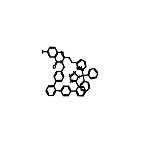 CCCCc1nc2ccc(I)cc2c(=O)n1Cc1ccc(-c2ccccc2-c2ccc(-c3ccccc3-c3nnnn3C(c3ccccc3)(c3ccccc3)c3ccccc3)cc2)cc1